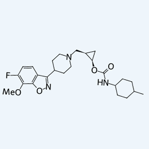 COc1c(F)ccc2c(C3CCN(C[C@H]4C[C@H]4OC(=O)NC4CCC(C)CC4)CC3)noc12